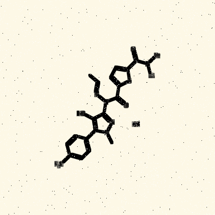 CC=NN(C(=O)c1ccc(C(=O)N(CC)CC)s1)c1nn(C)c(-c2ccc(C(F)(F)F)cc2)c1O.[KH]